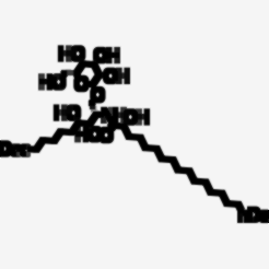 CCCCCCCCCCCCCCCCCCCCCCCC[C@@H](O)C(=O)N[C@@H](CO[C@@H]1O[C@H](CO)[C@H](O)[C@H](O)[C@H]1O)[C@H](O)[C@H](O)CCCCCCCCCCCCCCC